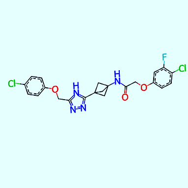 O=C(COc1ccc(Cl)c(F)c1)NC12CC(c3nnc(COc4ccc(Cl)cc4)[nH]3)(C1)C2